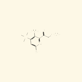 COCC(=O)c1nc(Br)cc([Si](C)(C)C)c1OC